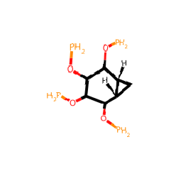 POC1C(OP)C(OP)[C@@H]2C[C@@H]2C1OP